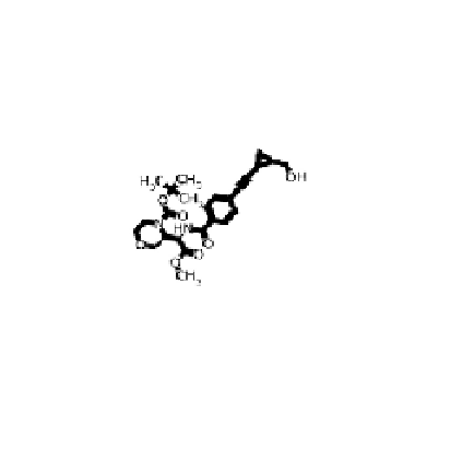 COC(=O)[C@@H](NC(=O)c1ccc(C#CC2CC2CO)cc1)[C@H]1COCCN1C(=O)OC(C)(C)C